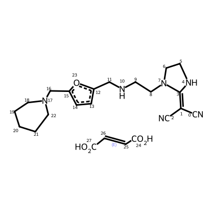 N#CC(C#N)=C1NCCN1CCNCc1ccc(CN2CCCCC2)o1.O=C(O)/C=C/C(=O)O